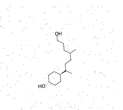 CC(CCCO)CCC(C)[C@H]1CC[C@H](O)CC1